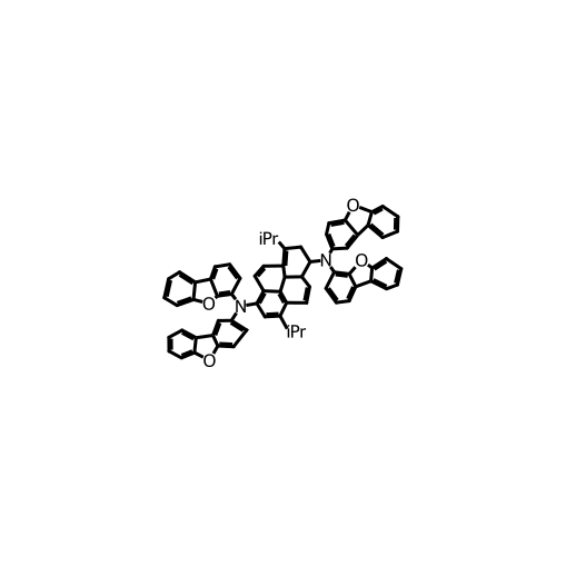 CC(C)C1=C2C=Cc3c(N(c4ccc5oc6ccccc6c5c4)c4cccc5c4oc4ccccc45)cc(C(C)C)c4c3C2C(C=C4)C(N(c2ccc3oc4ccccc4c3c2)c2cccc3c2oc2ccccc23)C1